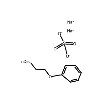 CCCCCCCCCCCCOc1ccccc1.O=S(=O)([O-])[O-].[Na+].[Na+]